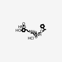 CC(COCCNS(=O)(=O)CCCNCCc1ccc(O)c2[nH]c(=O)sc12)c1ccccc1.Cl